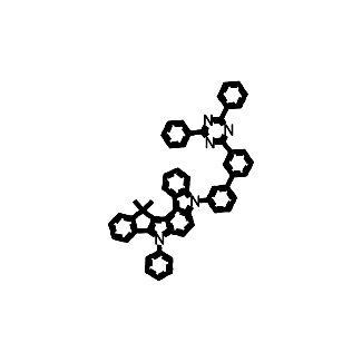 CC1(C)c2ccccc2-c2c1c1c3c4ccccc4n(-c4cccc(-c5cccc(-c6nc(-c7ccccc7)nc(-c7ccccc7)n6)c5)c4)c3ccc1n2-c1ccccc1